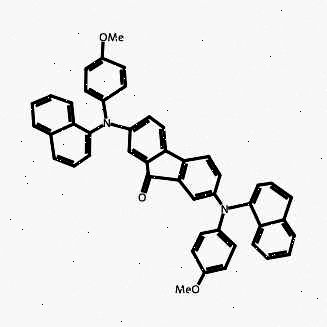 COc1ccc(N(c2ccc3c(c2)C(=O)c2cc(N(c4ccc(OC)cc4)c4cccc5ccccc45)ccc2-3)c2cccc3ccccc23)cc1